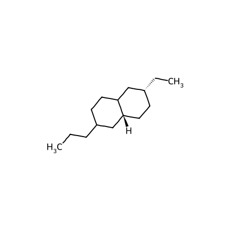 CCCC1CCC2C[C@H](CC)CC[C@@H]2C1